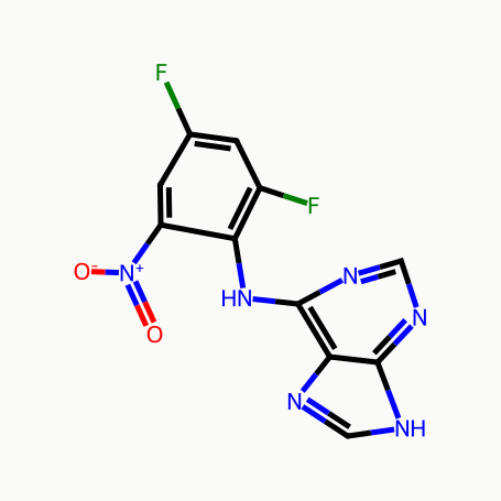 O=[N+]([O-])c1cc(F)cc(F)c1Nc1ncnc2[nH]cnc12